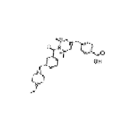 CCN1CCN(Cc2cccc(C(=O)N3[C@H](C)CN(Cc4ccc(C(=O)O)cc4)C[C@@H]3C)c2)CC1